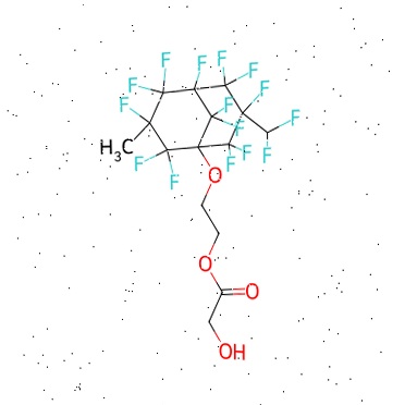 CC1(F)C(F)(F)C2(F)C(F)(F)C(F)(C(F)F)C(F)(F)C(OCCOC(=O)CO)(C1(F)F)C2(F)F